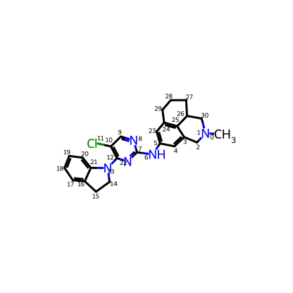 CN1Cc2cc(Nc3ncc(Cl)c(N4CCc5ccccc54)n3)cc3c2C(CCC3)C1